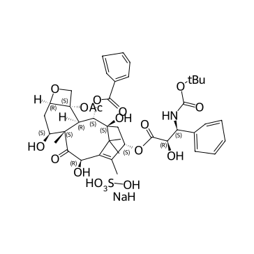 CC(=O)O[C@@]12CO[C@@H]1C[C@H](O)[C@@]1(C)C(=O)[C@H](O)C3=C(C)[C@@H](OC(=O)[C@H](O)[C@@H](NC(=O)OC(C)(C)C)c4ccccc4)C[C@@](O)([C@@H](OC(=O)c4ccccc4)[C@H]21)C3(C)C.O=S(=O)(O)O.[NaH]